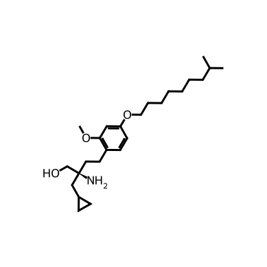 COc1cc(OCCCCCCCC(C)C)ccc1CC[C@@](N)(CO)CC1CC1